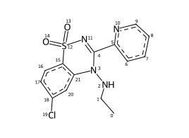 CCNN1C(c2ccccn2)=NS(=O)(=O)c2ccc(Cl)cc21